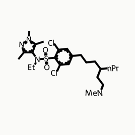 CCCC(CCCc1cc(Cl)c(S(=O)(=O)N(CC)c2c(C)nn(C)c2C)c(Cl)c1)CCNC